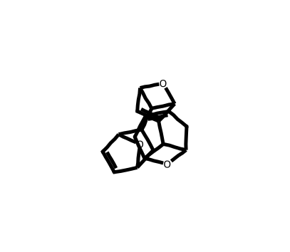 C1=CCC2OC(C1)C2C1=CC2OC1C2C1CC2C=CC1O2